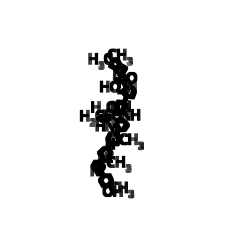 C=CC(=O)Nc1cc(Nc2nc(-c3ccnc(N4CCn5c(cc6c5CC(C)(C)C6)C4=O)c3CO)cn(C)c2=O)ccc1N1CCN(C2CCN(c3ccnc(C4CCC(C)(O)CC4)c3)[C@H](C)C2)C[C@@H]1C